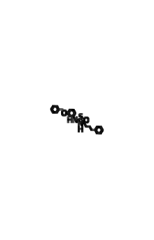 O=C(CCCc1ccccc1)NC(=S)Nc1cccc(OCc2ccccc2)c1